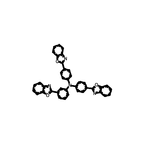 c1cc(-c2nc3ccccc3o2)cc(N(c2ccc(-c3nc4ccccc4o3)cc2)c2ccc(-c3nc4ccccc4o3)cc2)c1